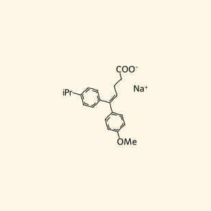 COc1ccc(C(=CCCC(=O)[O-])c2ccc(C(C)C)cc2)cc1.[Na+]